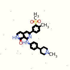 Cc1ccc(-c2cc3cc[nH]c(=O)c3c(Nc3ccc(C4CCN(C)CC4)cc3)n2)cc1S(C)(=O)=O